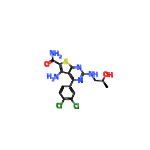 C[C@H](O)CNc1nc(-c2ccc(Cl)c(Cl)c2)c2c(N)c(C(N)=O)sc2n1